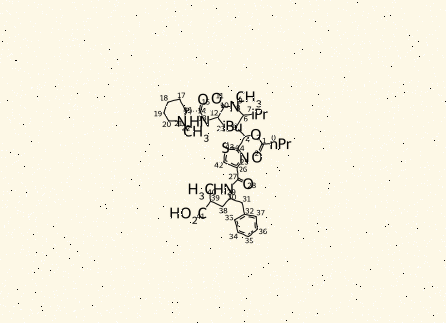 CCCC(=O)OC(CC(C(C)C)N(C)C(=O)C(NC(=O)[C@H]1CCCCN1C)C(C)CC)c1nc(C(=O)NC(Cc2ccccc2)CC(C)C(=O)O)cs1